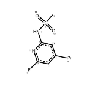 CC(C)c1cc(F)nc(NS(C)(=O)=O)c1